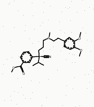 COC(=O)c1cccc([C@](C#N)(CCCN(C)CCc2ccc(OC)c(OC)c2)C(C)C)c1